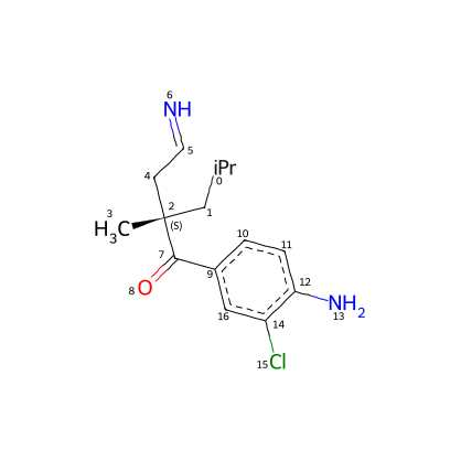 CC(C)C[C@@](C)(CC=N)C(=O)c1ccc(N)c(Cl)c1